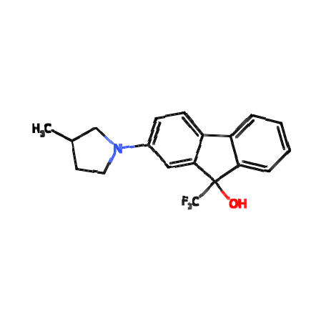 CC1CCN(c2ccc3c(c2)C(O)(C(F)(F)F)c2ccccc2-3)C1